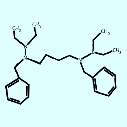 CCB(CC)N(CCCCN(Cc1ccccc1)B(CC)CC)Cc1ccccc1